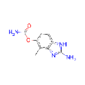 Cc1c(OC(N)=O)ccc2[nH]c(N)nc12